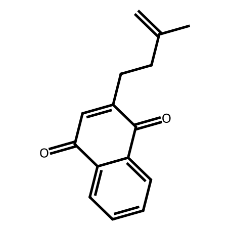 C=C(C)CCC1=CC(=O)c2ccccc2C1=O